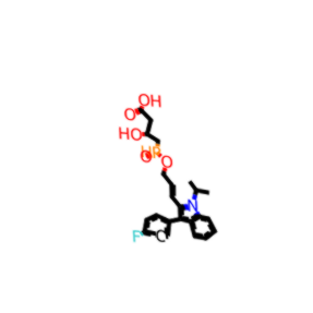 CC(C)n1c(/C=C/CO[PH](=O)CC(O)CC(=O)O)c(-c2ccc(F)cc2)c2ccccc21